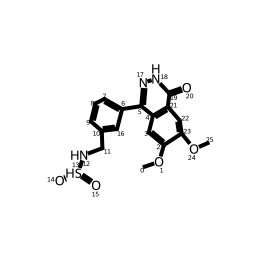 COc1cc2c(-c3cccc(CN[SH](=O)=O)c3)n[nH]c(=O)c2cc1OC